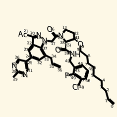 C=CCCCCCCCCO[C@@H]1CCN(C(=O)Cn2nc(C(C)=O)c3cc(-c4cnc(C)nc4)cc(CC=C)c32)[C@@H]1C(=O)NCc1cccc(Cl)c1F